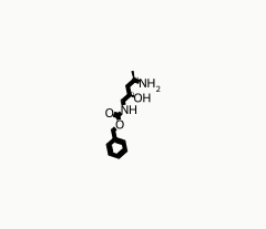 C[C@@H](N)C[C@@H](O)CNC(=O)OCc1ccccc1